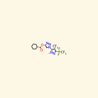 Cn1nc(C(F)(F)C(F)(F)F)c(C(F)(F)F)c1-n1cc(OC(=O)c2ccccc2)nn1